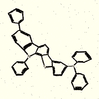 c1ccc(-c2ccc3c(c2)c2ccc4c5cc(N(c6ccccc6)c6ccccc6)ccc5sc4c2n3-c2ccccc2)cc1